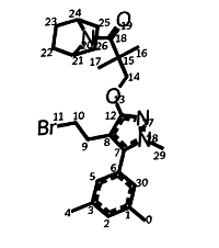 Cc1cc(C)cc(-c2c(CCBr)c(OCC(C)(C)C(=O)N3C4CCC3CC4)nn2C)c1